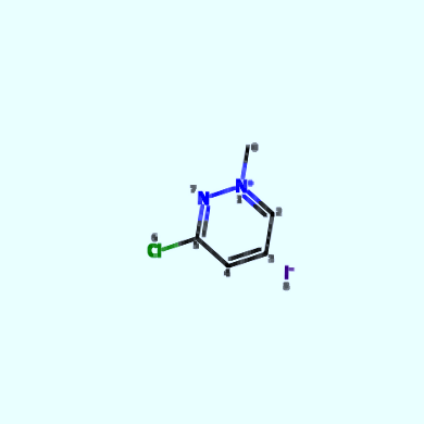 C[n+]1cccc(Cl)n1.[I-]